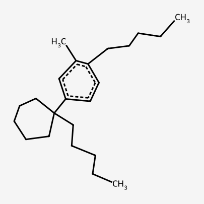 CCCCCc1ccc(C2(CCCCC)CCCCC2)cc1C